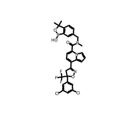 CN(Cc1ccc2c(c1)B(O)OC2(C)C)C(=O)c1ccc(C2=NOC(c3cc(Cl)cc(Cl)c3)(C(F)(F)F)C2)c2cccn12